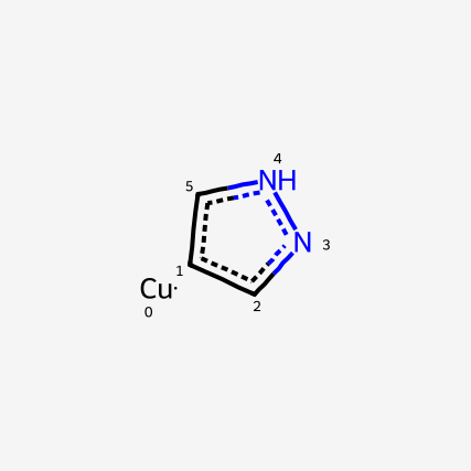 [Cu].c1cn[nH]c1